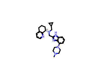 CN1CCN(c2cccc3[nH]c(CN(CC4CC4)[C@H]4CCCc5cccnc54)nc23)CC1